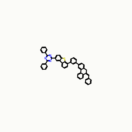 C(=C1\Cc2ccc(-c3cccc(-c4cccc5c4sc4ccc(-c6nc(-c7ccccc7)nc(-c7ccccc7)n6)cc45)c3)cc2-c2ccccc21)/c1ccccc1